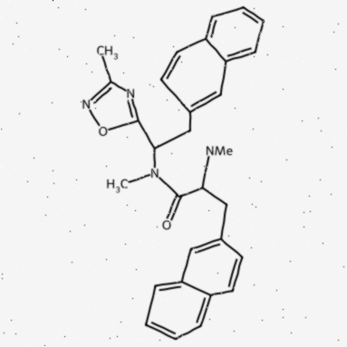 CNC(Cc1ccc2ccccc2c1)C(=O)N(C)C(Cc1ccc2ccccc2c1)c1nc(C)no1